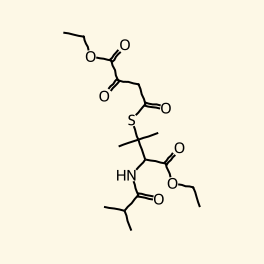 CCOC(=O)C(=O)CC(=O)SC(C)(C)C(NC(=O)C(C)C)C(=O)OCC